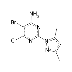 Cc1cc(C)n(-c2nc(N)c(Br)c(Cl)n2)n1